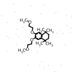 COCCOc1cc2c(cc1OCCOC)C(C)(C)CCC2(C)C